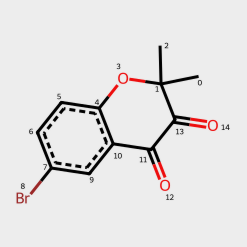 CC1(C)Oc2ccc(Br)cc2C(=O)C1=O